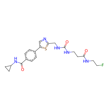 O=C(CCNC(=O)NCc1ncc(-c2ccc(C(=O)NC3CC3)cc2)s1)NCCF